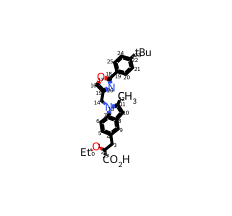 CCOC(Cc1ccc2c(c1)cc(C)n2Cc1coc(-c2ccc(C(C)(C)C)cc2)n1)C(=O)O